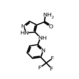 NC(=O)c1cn[nH]c1Nc1cccc(C(F)(F)F)n1